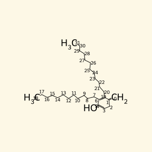 C=C1CC=C(O)C(CCCCCCCCCCCC)=C1CCCCCCCCCCCC